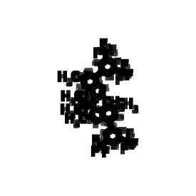 CC1=Cc2c(-c3cc(C(F)(F)F)cc(C(F)(F)F)c3)cc(C)cc2[CH]1[Zr]([Cl])([Cl])([CH]1C(C)=Cc2c(-c3cc(C(F)(F)F)cc(C(F)(F)F)c3)cc(C)cc21)=[Si](C)C